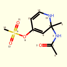 CC(=O)NC1(C)C=C(OS(C)(=O)=O)C=CN1